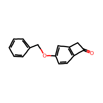 O=C1Cc2cc(OCc3ccccc3)ccc21